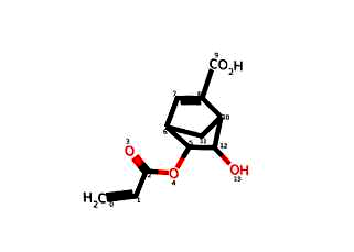 C=CC(=O)OC1C2C=C(C(=O)O)C(C2)C1O